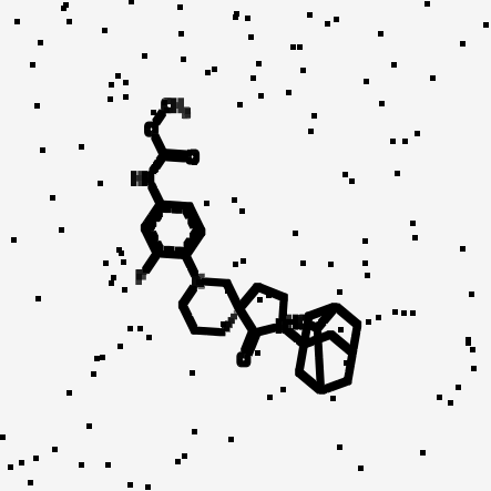 COC(=O)Nc1ccc(N2CCC[C@@]3(CCN(C45CC6CC(C4)C(O)C(C6)C5)C3=O)C2)c(F)c1